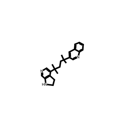 CC(C)(CCC(C)(C)c1cncc2c1CCN2)c1cnc2ccccc2c1